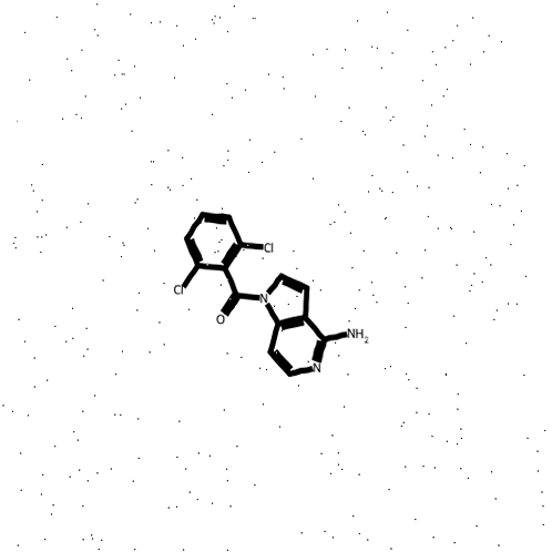 Nc1nccc2c1ccn2C(=O)c1c(Cl)cccc1Cl